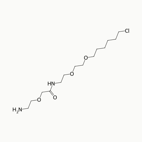 NCCOCC(=O)NCCOCCOCCCCCCCl